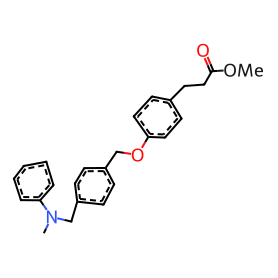 COC(=O)CCc1ccc(OCc2ccc(CN(C)c3ccccc3)cc2)cc1